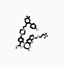 COC(=O)c1ccc(N2CCN(CCC3=C(c4ccc(Cl)cc4)CC(C)(C)CC3)CC2)cc1N1CC[C@H](C)Oc2nc3c(ccn3COCC[Si](C)(C)C)cc21